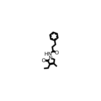 CCC1=C(C)CN(NC(=O)CCc2ccccc2)C1=O